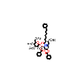 CCCCCCCCCCCCCC[C@@H](OC(=O)c1ccccc1)[C@@H](OC(=O)c1ccccc1)[C@H](COC1OC(COC(C)=O)C(OC(C)=O)C(OC(C)=O)C1OC(C)=O)NC(=O)CCCCCCCc1ccccc1